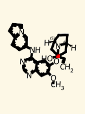 C=CC(O)N1[C@@H]2CC[C@H]1C[C@H](Oc1cc3c(Nc4ccc5cccn5c4)ncnc3cc1OC)C2